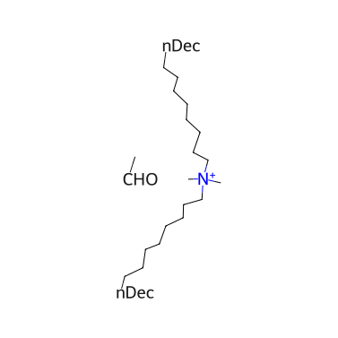 CC=O.CCCCCCCCCCCCCCCCCC[N+](C)(C)CCCCCCCCCCCCCCCCCC